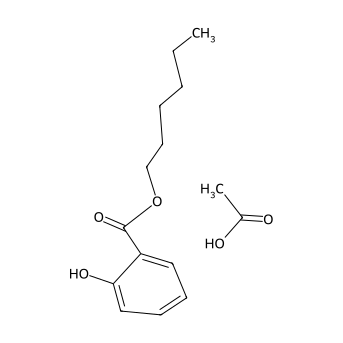 CC(=O)O.CCCCCCOC(=O)c1ccccc1O